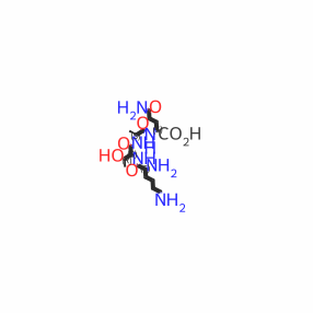 C[C@H](NC(=O)[C@@H](NC(=O)[C@@H](N)CCCCN)[C@@H](C)O)C(=O)N[C@@H](CCC(N)=O)C(=O)O